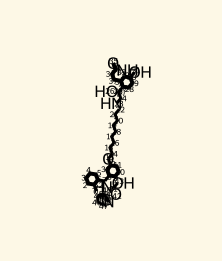 Cc1ccccc1C(c1cccc(OCCCCCCCCCNC[C@H](O)c2ccc(O)c3[nH]c(=O)ccc23)c1)N(C(=O)O)[C@H]1CN2CCC1CC2